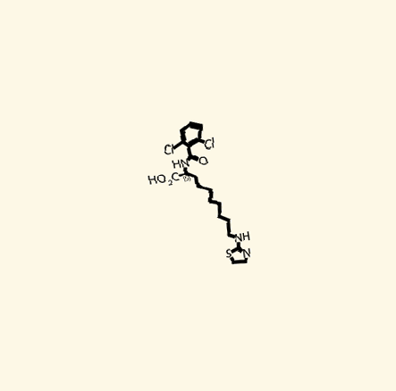 O=C(N[C@@H](CCCCCCCCNC1=NCCS1)C(=O)O)c1c(Cl)cccc1Cl